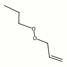 C=CCOOCCC